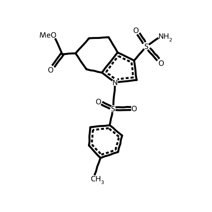 COC(=O)C1CCc2c(S(N)(=O)=O)cn(S(=O)(=O)c3ccc(C)cc3)c2C1